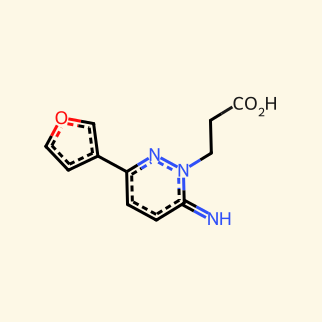 N=c1ccc(-c2ccoc2)nn1CCC(=O)O